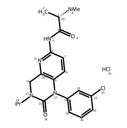 CN[C@@H](C)C(=O)Nc1ccc2c(n1)CN(C(C)C)C(=O)N2c1cccc(Cl)c1.Cl